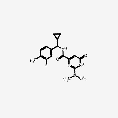 CN(C)c1nc(C(=O)N[C@@H](c2ccc(C(F)(F)F)c(F)c2)C2CC2)cc(=O)[nH]1